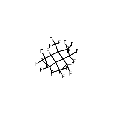 FC(F)(F)C1(F)C(C(F)(F)F)(C(F)(F)F)C(C(F)(F)F)(C(F)(F)F)C1(C(F)(F)F)C(F)(F)F